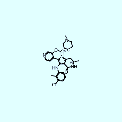 Cc1c(Cl)cccc1Nc1c(-c2ccncc2OC[C@@H]2CN(C)CCO2)[nH]c2c1C(=O)N[C@H](C)C2